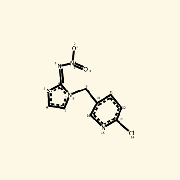 O=[N+]([O-])/N=c1/sccn1Cc1ccc(Cl)nc1